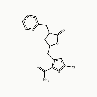 NC(=O)c1sc(Cl)cc1CC1CN(Cc2ccccc2)C(=O)O1